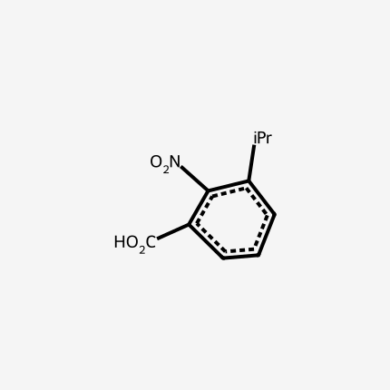 CC(C)c1cccc(C(=O)O)c1[N+](=O)[O-]